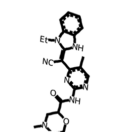 CCN1/C(=C(\C#N)c2nc(NC(=O)C3CN(C)CCO3)ncc2C)Nc2ccccc21